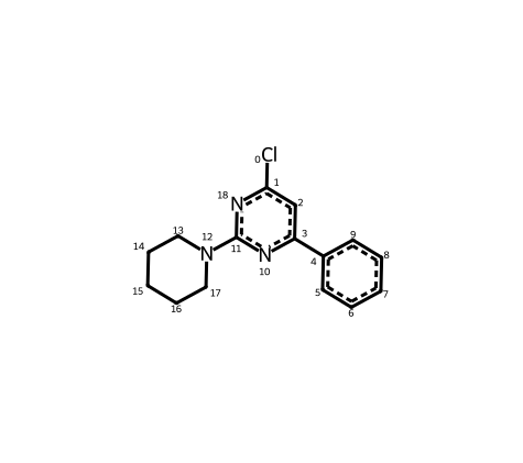 Clc1cc(-c2ccccc2)nc(N2CCCCC2)n1